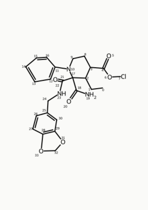 CCC1C(C(=O)OCl)CCN(c2ccccc2)C1(C(N)=O)C(=O)NCc1ccc2c(c1)OCO2